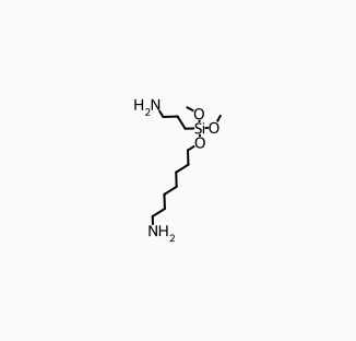 CO[Si](CCCN)(OC)OCCCCCCCN